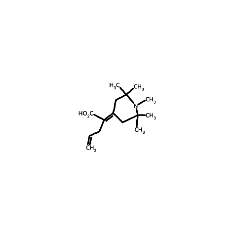 C=CCC(C(=O)O)=C1CC(C)(C)N(C)C(C)(C)C1